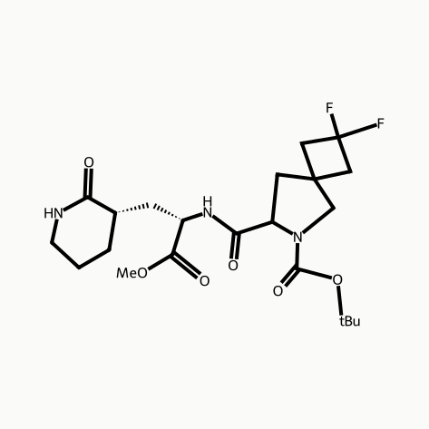 COC(=O)[C@H](C[C@@H]1CCCNC1=O)NC(=O)C1CC2(CN1C(=O)OC(C)(C)C)CC(F)(F)C2